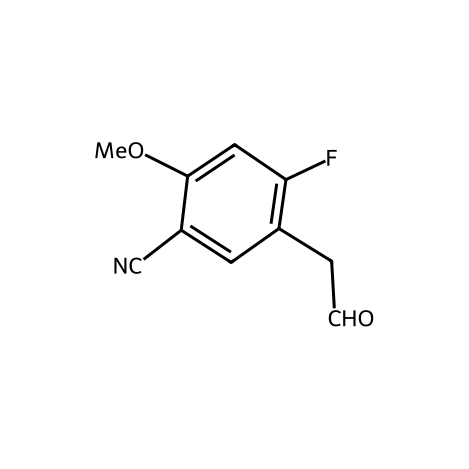 COc1cc(F)c(CC=O)cc1C#N